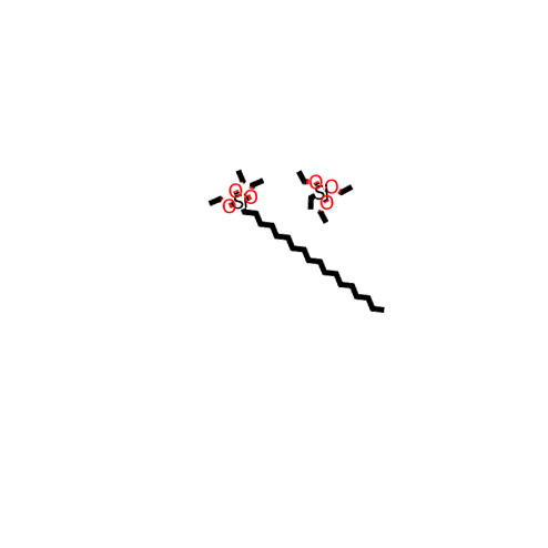 CCCCCCCCCCCCCCCCCC[Si](OCC)(OCC)OCC.CCO[Si](CC)(OCC)OCC